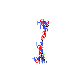 C[C@@H]1CN(c2cc(F)c(-c3ccc(N4CCN(C(=O)CCC(=O)NCCOCCOCCOCCOCCOCCNc5cccc6c5C(=O)N(C5CCC(=O)NC5=O)C6=O)CC4)nc3)cc2NC(=O)c2c[nH]c(=O)cc2C(F)(F)F)C[C@H](C)N1C